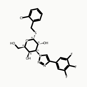 OC[C@H]1O[C@H](SCc2ccccc2Cl)[C@H](O)[C@@H](n2cc(-c3cc(F)c(F)c(F)c3)nn2)[C@H]1O